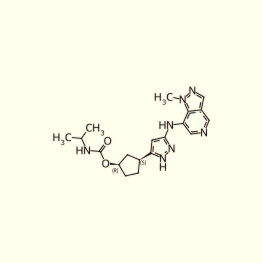 CC(C)NC(=O)O[C@@H]1CC[C@H](c2cc(Nc3cncc4cnn(C)c34)n[nH]2)C1